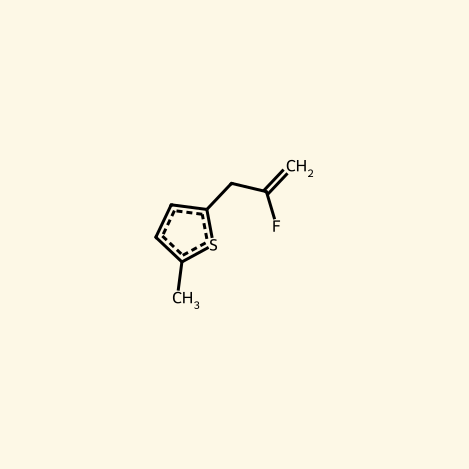 C=C(F)Cc1ccc(C)s1